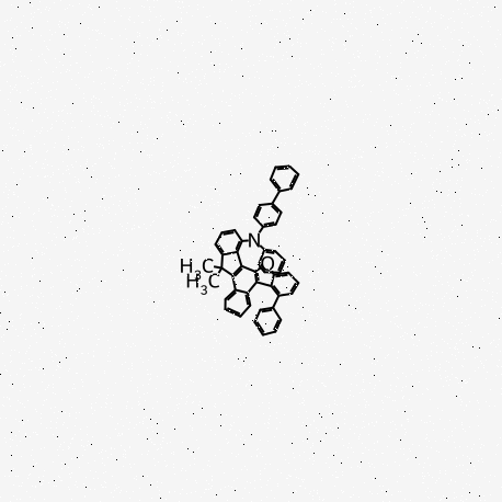 CC1(C)c2cccc(N(c3ccccc3)c3ccc(-c4ccccc4)cc3)c2-c2c1c1ccccc1c1c2oc2cccc(-c3ccccc3)c21